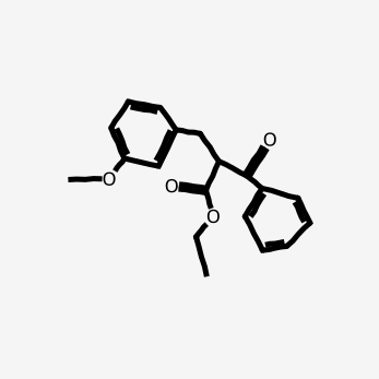 CCOC(=O)C(Cc1cccc(OC)c1)C(=O)c1ccccc1